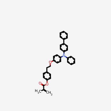 C=C(C)C(=O)Oc1ccc(CCOc2ccc(N(c3ccccc3)c3ccc(-c4ccccc4)cc3)cc2)cc1